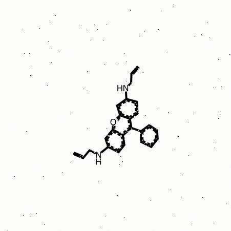 C=CCNc1ccc2c(-c3ccccc3)c3ccc(NCC=C)cc3[o+]c2c1